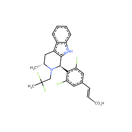 C[C@@H]1Cc2c([nH]c3ccccc23)[C@@H](c2c(F)cc(/C=C/C(=O)O)cc2F)N1CC(C)(F)F